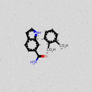 NC(=O)c1ccc2cc[nH]c2c1.O=C(O)c1ccccc1C(=O)O